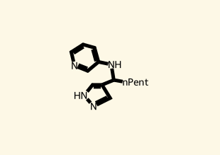 CCCCCC(Nc1cccnc1)c1cn[nH]c1